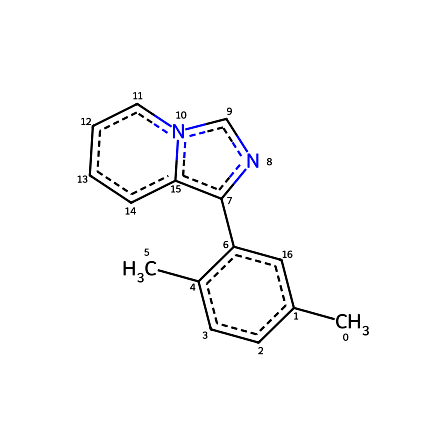 Cc1ccc(C)c(-c2ncn3ccccc23)c1